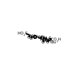 CC(C(=O)O)C(C(=O)Nc1nc2ncc(CNc3ccc(C(=O)NC(=O)CCC(=O)O)cc3)nc2c(=O)[nH]1)C(C)(C)C